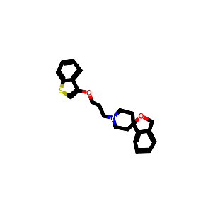 c1ccc2c(c1)COC21CCN(CCCOc2csc3ccccc23)CC1